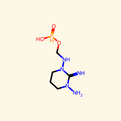 N=C1N(N)CCCN1NCO[PH](=O)O